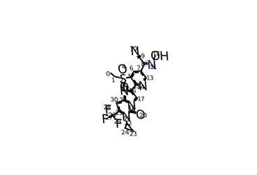 CCS(=O)(=O)c1cc(/C(C#N)=N/O)cnc1-c1cn2c(=O)n(C3CC3)c(C(F)(F)F)cc2n1